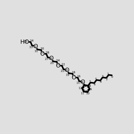 CCCCCCCCc1ccccc1OCCOCCOCCOCCOCCOCCOCCO